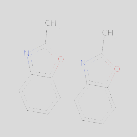 Cc1nc2ccccc2o1.Cc1nc2ccccc2o1